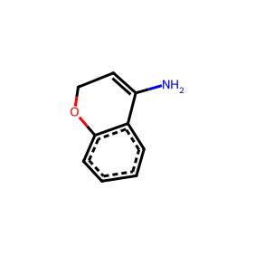 NC1=CCOc2ccccc21